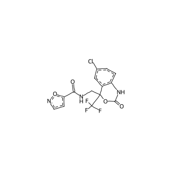 O=C1Nc2ccc(Cl)cc2C(CNC(=O)c2ccno2)(C(F)(F)F)O1